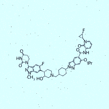 CC(C)Oc1cc2nn(C3CCC(CN4CC[C@H](c5cc6c(cc5F)c(N5CCC(=O)NC5=O)nn6C)[C@H](O)C4)CC3)cc2cc1C(=O)Nc1cccn([C@H]2C[C@H]2F)c1=O